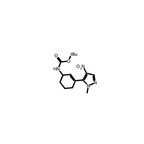 Cn1ncc([N+](=O)[O-])c1C1=CC(NC(=O)OC(C)(C)C)CCC1